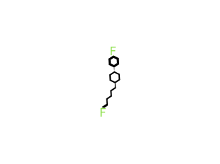 F/C=C/CCCC[C@H]1CC[C@H](c2ccc(F)cc2)CC1